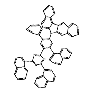 c1ccc(-c2cc(-c3nc(-c4cccc5ccccc45)nc(-c4cccc5ccccc45)n3)c(-c3cccc4ccccc34)cc2-n2c3cc4ccccc4cc3c3c4ccccc4ccc32)cc1